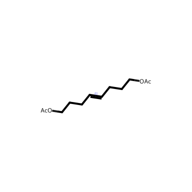 CC(=O)OCCC/C=C/CCCOC(C)=O